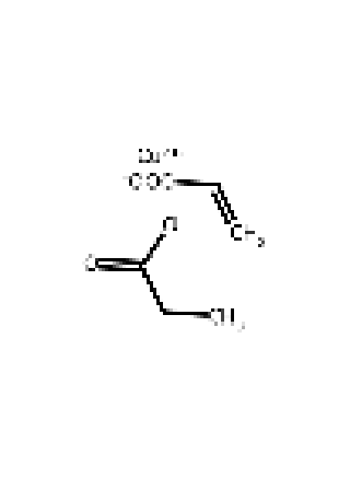 C=CC(=O)[O-].CCC(=O)[O-].[Cu+2]